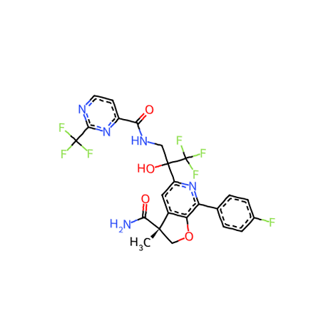 C[C@]1(C(N)=O)COc2c1cc(C(O)(CNC(=O)c1ccnc(C(F)(F)F)n1)C(F)(F)F)nc2-c1ccc(F)cc1